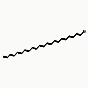 [CH]=CC=CC=CC=CC=CC=CC=CC=CC=CC=CC=CCC